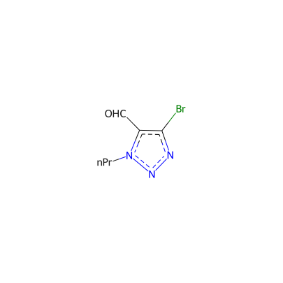 CCCn1nnc(Br)c1C=O